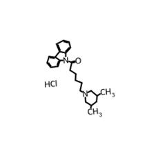 CC1CC(C)CN(CCCCCC(=O)n2c3ccccc3c3ccccc32)C1.Cl